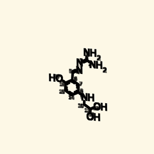 NC(N)=NN=Cc1cc(NCC(O)O)ccc1O